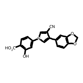 N#Cc1cn(-c2ccc(C(=O)O)c(O)c2)cc1-c1ccc2c(c1)OCO2